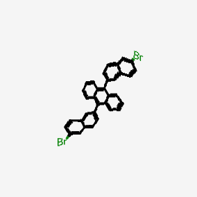 Brc1ccc2cc(-c3c4ccccc4c(-c4ccc5cc(Br)ccc5c4)c4ccccc34)ccc2c1